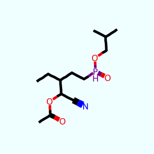 CCC(CC[PH](=O)OCC(C)C)C(C#N)OC(C)=O